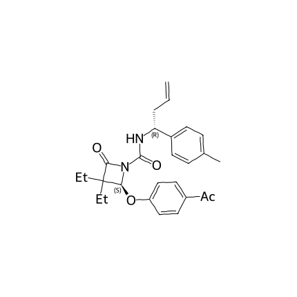 C=CC[C@@H](NC(=O)N1C(=O)C(CC)(CC)[C@@H]1Oc1ccc(C(C)=O)cc1)c1ccc(C)cc1